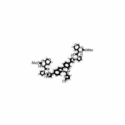 COC(=O)N[C@H](C(=O)N1CCC[C@H]1c1nc(-c2ccc3c(c2)OC(c2ccc(Cl)s2)n2c-3cc3cc(-c4c[nH]c([C@@H]5CCCN5C(=O)[C@@H](NC(=O)OC)C5CCOCC5)n4)ccc32)c[nH]1)C1CCOCC1